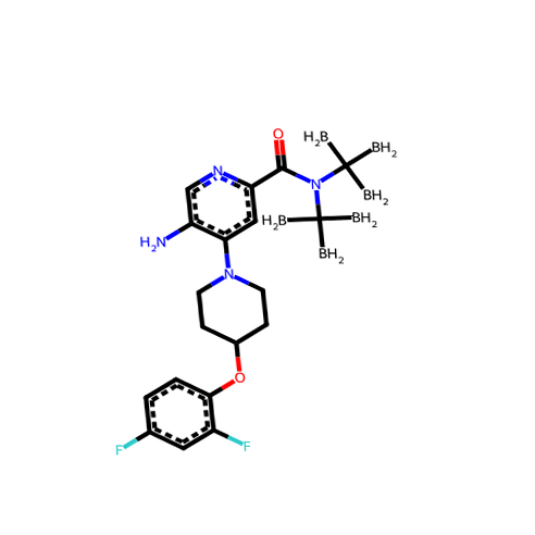 BC(B)(B)N(C(=O)c1cc(N2CCC(Oc3ccc(F)cc3F)CC2)c(N)cn1)C(B)(B)B